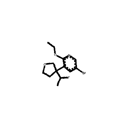 CCOc1ncc(Br)cc1C1(C(C)F)CCOC1